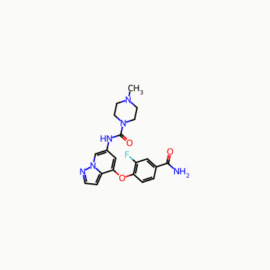 CN1CCN(C(=O)Nc2cc(Oc3ccc(C(N)=O)cc3F)c3ccnn3c2)CC1